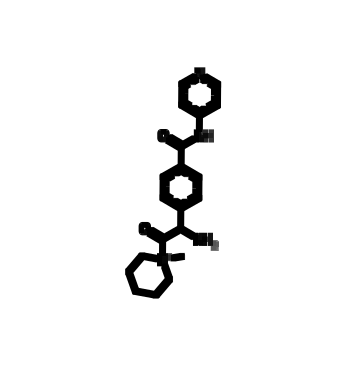 C[N+]1(C(=O)C(N)c2ccc(C(=O)Nc3ccncc3)cc2)CCCCC1